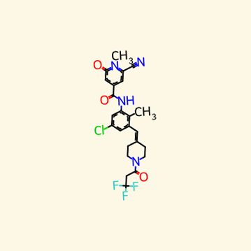 Cc1c(C=C2CCN(C(=O)CC(F)(F)F)CC2)cc(Cl)cc1NC(=O)c1cc(C#N)n(C)c(=O)c1